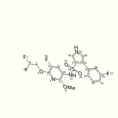 COc1nc(OCC(F)F)c(F)cc1NS(=O)(=O)c1c[nH]cc1-c1cccc(F)c1